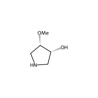 CO[C@H]1CNC[C@H]1O